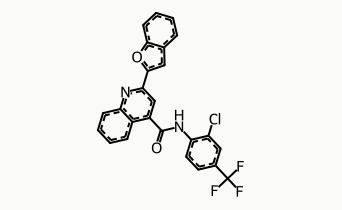 O=C(Nc1ccc(C(F)(F)F)cc1Cl)c1cc(-c2cc3ccccc3o2)nc2ccccc12